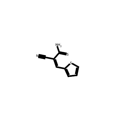 N#CC(=Cc1cccs1)C(N)=S